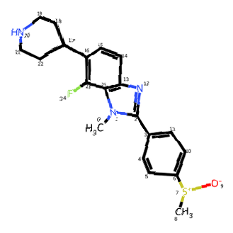 Cn1c(-c2ccc([S+](C)[O-])cc2)nc2ccc(C3CCNCC3)c(F)c21